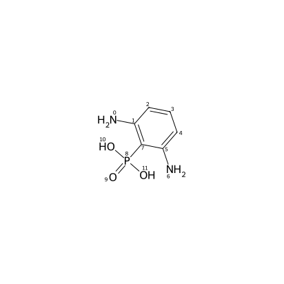 Nc1cccc(N)c1P(=O)(O)O